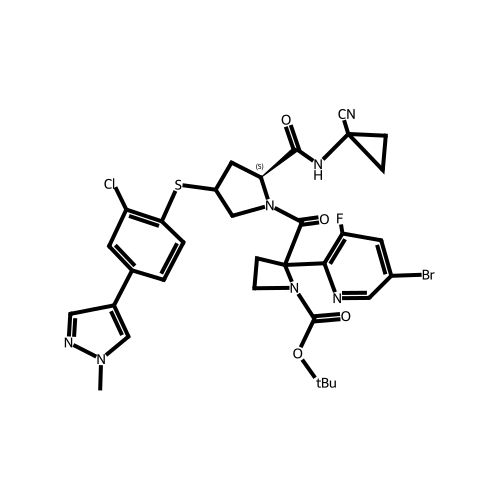 Cn1cc(-c2ccc(SC3C[C@@H](C(=O)NC4(C#N)CC4)N(C(=O)C4(c5ncc(Br)cc5F)CCN4C(=O)OC(C)(C)C)C3)c(Cl)c2)cn1